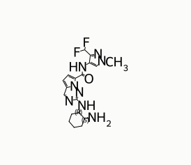 Cn1cc(NC(=O)c2ccc3cnc(N[C@@H]4CCCC[C@@H]4N)nn23)c(C(F)F)n1